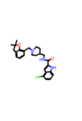 CC1(C)Cc2cccc(CN3CCC(CNC(=O)c4cc5c(Cl)cccc5[nH]4)CC3)c2O1